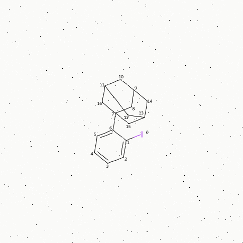 Ic1ccccc1C12CC3CC(CC(C3)C1)C2